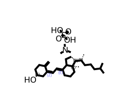 C=C1CC[C@H](O)C/C1=C/C=C1\CCC[C@@]2(C)C1CC[C@@H]2[C@H](C)CCCC(C)C.CN(C)C.O=S(=O)(O)O